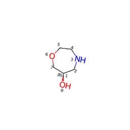 O[C@@H]1CNCCOC1